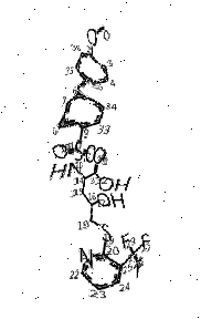 COc1ccc(-c2ccc(S(=O)(=O)NC(CC(O)CSc3ncccc3C(F)(F)F)C(=O)O)cc2)cc1